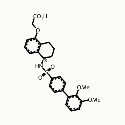 COc1cccc(-c2ccc(S(=O)(=O)N[C@@H]3CCCc4c(OCC(=O)O)cccc43)cc2)c1OC